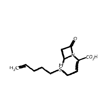 C=CCCC[SH]1CC=C(C(=O)O)N2C(=O)CC21